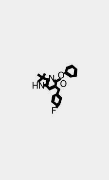 CC1(C)CNc2cc(Cc3ccc(F)cc3)c(C(=O)Oc3ccccc3)nc21